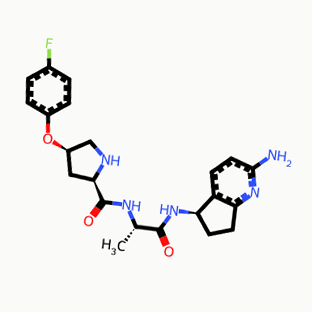 C[C@H](NC(=O)[C@H]1C[C@@H](Oc2ccc(F)cc2)CN1)C(=O)N[C@@H]1CCc2nc(N)ccc21